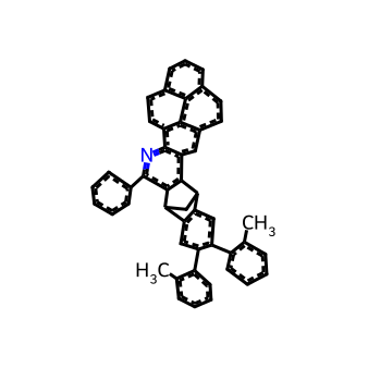 Cc1ccccc1-c1cc2c(cc1-c1ccccc1C)C1CC2c2c(-c3ccccc3)nc3c(cc4ccc5cccc6ccc3c4c56)c21